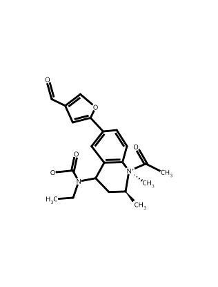 CCN(C(=O)[O-])C1C[C@H](C)[N@+](C)(C(C)=O)c2ccc(-c3cc(C=O)co3)cc21